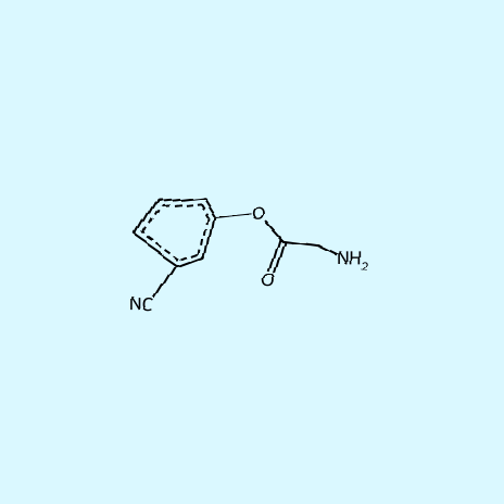 N#Cc1cccc(OC(=O)CN)c1